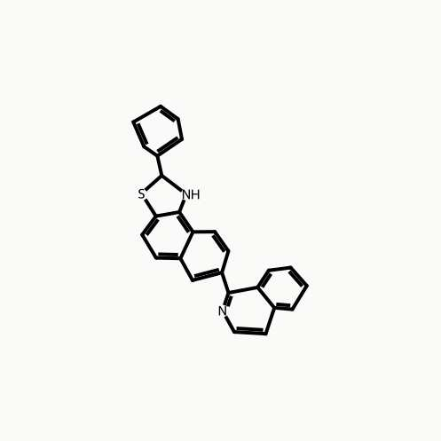 c1ccc(C2Nc3c(ccc4cc(-c5nccc6ccccc56)ccc34)S2)cc1